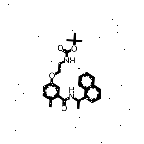 Cc1ccc(OCCNC(=O)OC(C)(C)C)cc1C(=O)NC(C)c1cccc2ccccc12